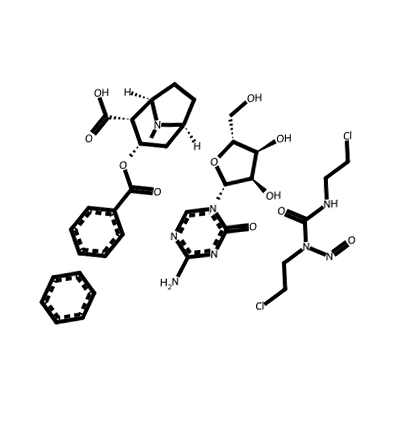 CN1[C@H]2CC[C@@H]1[C@@H](C(=O)O)[C@@H](OC(=O)c1ccccc1)C2.Nc1ncn([C@@H]2O[C@H](CO)[C@@H](O)[C@H]2O)c(=O)n1.O=NN(CCCl)C(=O)NCCCl.c1ccccc1